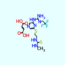 CNC(=S)NCCSc1cncc(NC(N)=NCC(F)(F)F)n1.O=C(O)C=CC(=O)O